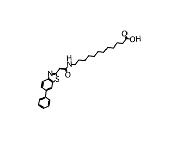 O=C(O)CCCCCCCCCCCNC(=O)Cc1nc2ccc(-c3ccccc3)cc2s1